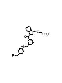 CC(C)Cc1ccc(NCc2cccc(C(=O)c3cn(CCCC(=O)O)c4ccccc34)c2)cc1